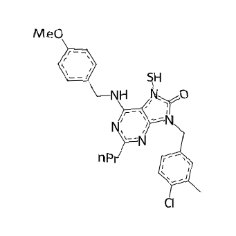 CCCc1nc(NCc2ccc(OC)cc2)c2c(n1)n(Cc1ccc(Cl)c(C)c1)c(=O)n2S